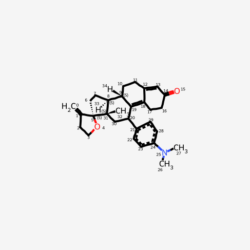 C=C1CCO[C@@]12CC[C@H]1[C@@H]3CCC4=CC(=O)CCC4=C3C(c3ccc(N(C)C)cc3)C[C@@]12C